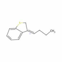 CCC/C=C1\CSc2ccccc21